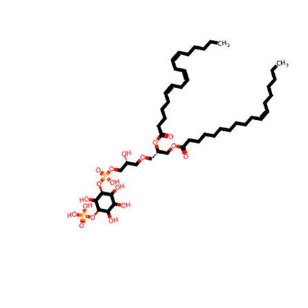 CCCCC/C=C\C/C=C\C/C=C\CCCCC(=O)O[C@@H](COC[C@@H](O)COP(=O)(O)O[C@H]1C(O)C(O)C(O)[C@@H](OP(=O)(O)O)C1O)COC(=O)CCCCCCCCC/C=C\CCCCCC